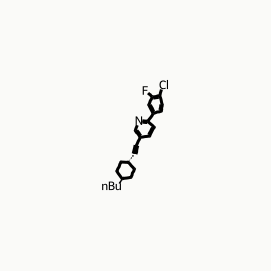 CCCC[C@H]1CC[C@H](C#Cc2ccc(-c3ccc(Cl)c(F)c3)nc2)CC1